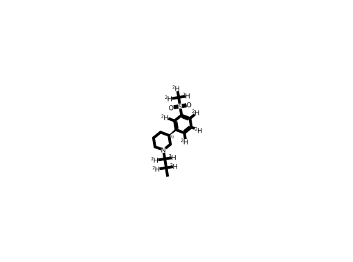 [2H]c1c([2H])c([C@@H]2CCCN(C([2H])([2H])C([2H])([2H])C)C2)c([2H])c(S(=O)(=O)C([2H])([2H])[2H])c1[2H]